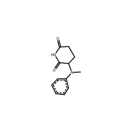 CN(c1ccccc1)C1CCC(=O)NC1=O